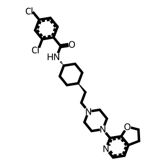 O=C(N[C@H]1CC[C@H](CCN2CCN(c3nccc4c3OCC4)CC2)CC1)c1ccc(Cl)cc1Cl